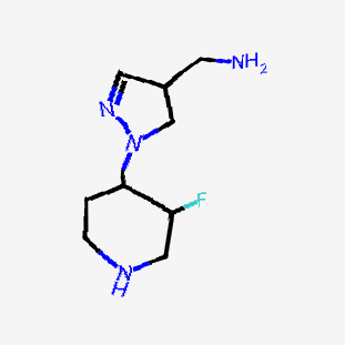 NCC1C=NN(C2CCNCC2F)C1